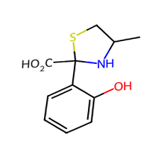 CC1CSC(C(=O)O)(c2ccccc2O)N1